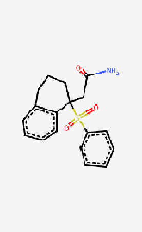 NC(=O)CC1(S(=O)(=O)c2ccccc2)CCCc2ccccc21